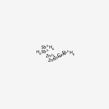 [Ga+3].[SbH6-3].[SbH6-3].[SbH6-3].[Zn+2].[Zn+2].[Zn+2]